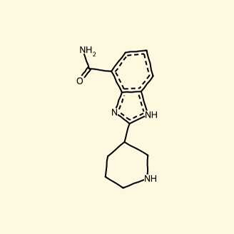 NC(=O)c1cccc2[nH]c(C3CCCNC3)nc12